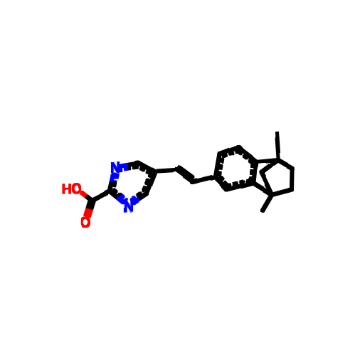 CC12CCC(C)(C1)c1cc(/C=C/c3cnc(C(=O)O)nc3)ccc12